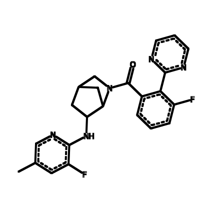 Cc1cnc(NC2CC3CC2N(C(=O)c2cccc(F)c2-c2ncccn2)C3)c(F)c1